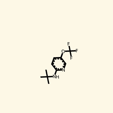 CC(C)(C)Nc1ccc(OC(F)(F)F)cn1